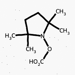 CC1(C)CCC(C)(C)N1OC(=O)O